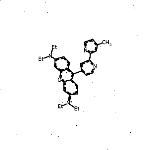 CCN(CC)c1ccc2c(-c3ccnc(-c4cc(C)ccn4)c3)c3ccc(=[N+](CC)CC)cc-3oc2c1